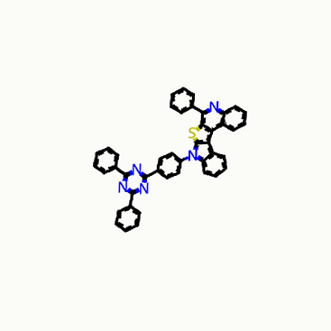 c1ccc(-c2nc(-c3ccccc3)nc(-c3ccc(-n4c5ccccc5c5c6c(sc54)c(-c4ccccc4)nc4ccccc46)cc3)n2)cc1